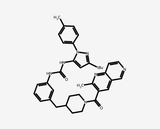 Cc1ccc(-n2nc(C(C)(C)C)cc2NC(=O)Nc2cccc(CC3CCN(C(=O)c4cc5cnccc5nc4C)CC3)c2)cc1